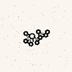 CCC1=C(\n2c3ccccc3c3ccccc32)c2sc3ccccc3c2CC/C=C\1n1c2ccccc2c2cc3c4ccc5ccccc5c4n4c5ccccc5c(c21)c34